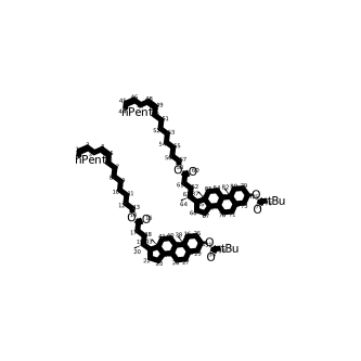 CCCCC/C=C\C/C=C\CCCCCCCCOC(=O)CC[C@@H](C)C1CCC2C3CCC4C[C@H](OC(=O)C(C)(C)C)CC[C@]4(C)C3CC[C@@]21C.CCCCC/C=C\C/C=C\CCCCCCCCOC(=O)CC[C@@H](C)C1CCC2C3CCC4C[C@H](OC(=O)C(C)(C)C)CC[C@]4(C)C3CC[C@@]21C